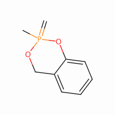 C=P1(C)OCc2ccccc2O1